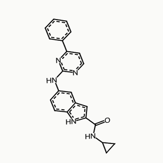 O=C(NC1CC1)c1cc2cc(Nc3nccc(-c4ccccc4)n3)ccc2[nH]1